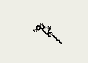 CCCCCCCN1CC[C@@H](CCCc2ccnc3ccc(OC)cc23)[C@@H](CCO)C1